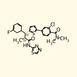 C[C@H](C(=O)Nc1nncs1)[C@@H](c1ccc(-c2ccc(C(=O)N(C)C)c(Cl)c2)s1)C1C=CC=C(F)C1